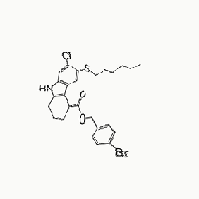 CCCCCCSc1cc2c3c([nH]c2cc1Cl)CCCC3C(=O)OCc1ccc(Br)cc1